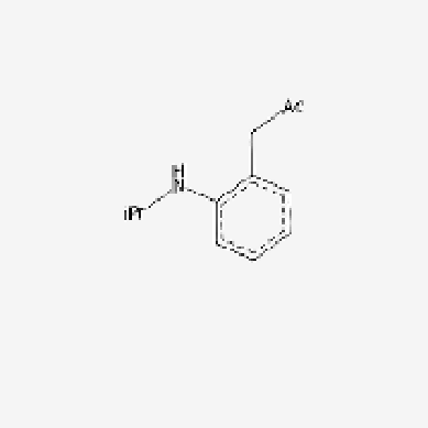 CC(=O)Cc1ccccc1NC(C)C